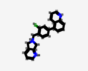 Fc1cc(-c2cccc3ncccc23)ccc1CN1Cc2cccnc2C1